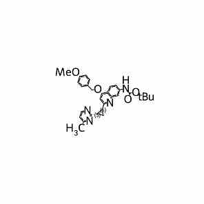 COc1ccc(COc2cc([C@H]3C[C@@H]3c3nccc(C)n3)nc3cc(NC(=O)OC(C)(C)C)ccc23)cc1